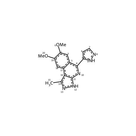 COc1cc2c(-c3ccn[nH]3)nc3[nH]nc(C)c3c2cc1OC